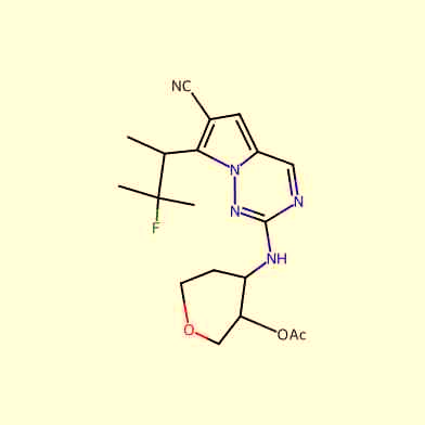 CC(=O)OC1COCCC1Nc1ncc2cc(C#N)c(C(C)C(C)(C)F)n2n1